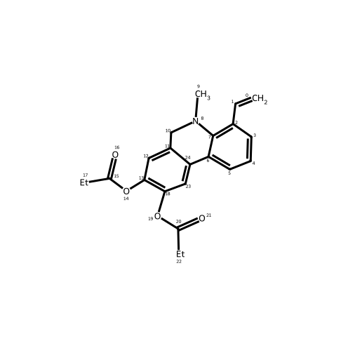 C=Cc1cccc2c1N(C)Cc1cc(OC(=O)CC)c(OC(=O)CC)cc1-2